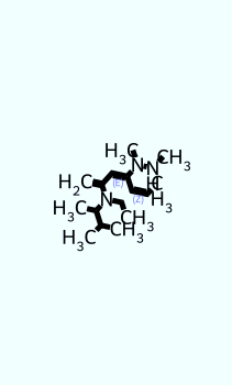 C=C(/C=C(\C=C/C)N(C)NC)N(CC)C(C)C(C)C